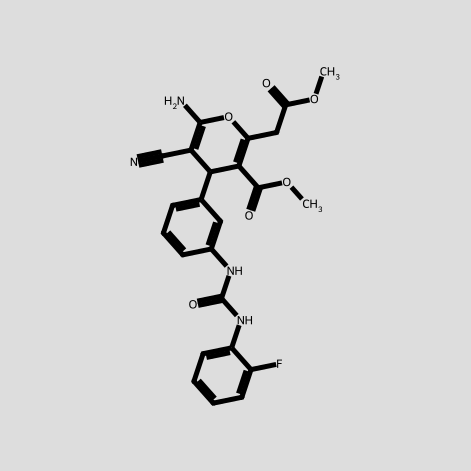 COC(=O)CC1=C(C(=O)OC)C(c2cccc(NC(=O)Nc3ccccc3F)c2)C(C#N)=C(N)O1